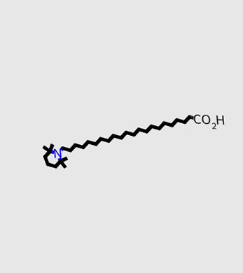 CC1(C)CCCC(C)(C)N1CCCCCCCCCCCCCCCCCCCCCC(=O)O